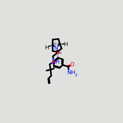 C=CCC(C)(C)CNCCN1[C@@H]2CC[C@H]1C[C@@H](c1cccc(C(N)=O)c1)C2